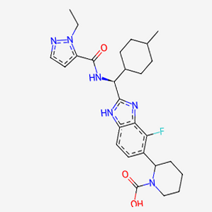 CCn1nccc1C(=O)N[C@H](c1nc2c(F)c(C3CCCCN3C(=O)O)ccc2[nH]1)C1CCC(C)CC1